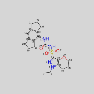 CCn1nc(S(=O)(=O)NC(=O)Nc2c3c(cc4c2CCC4)CCC3)c2c1CCCO2